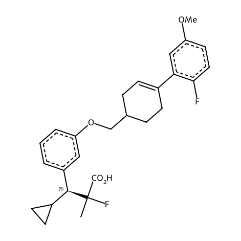 COc1ccc(F)c(C2=CCC(COc3cccc([C@H](C4CC4)C(C)(F)C(=O)O)c3)CC2)c1